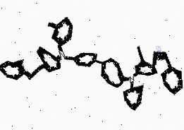 Cc1cccc(N(c2ccc(Cc3ccccc3)cc2)c2ccc(-c3ccc(N(c4ccccc4)c4ccc(/C=C\c5ccccc5)c(C)c4)cc3)cc2)c1